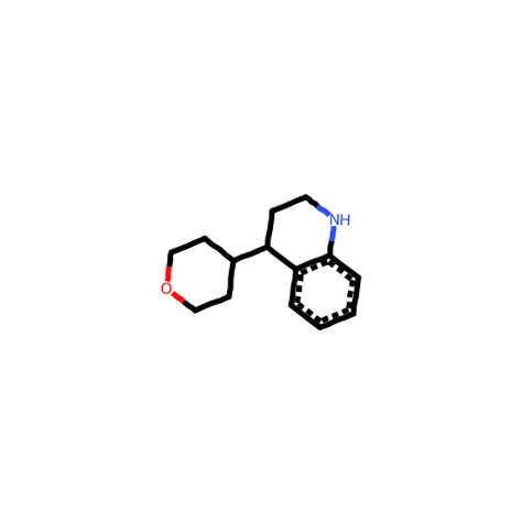 c1ccc2c(c1)NCCC2C1CCOCC1